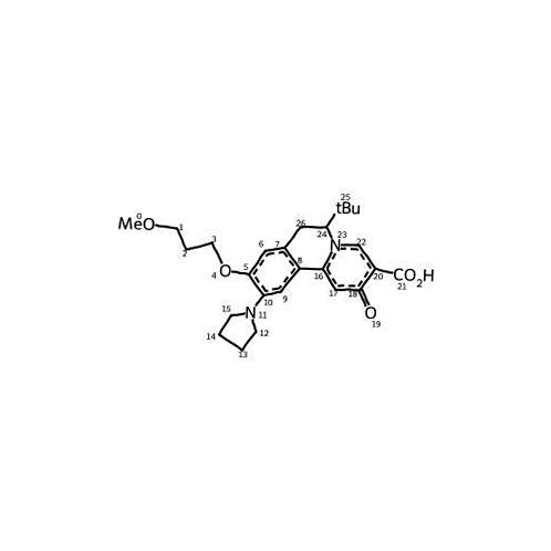 COCCCOc1cc2c(cc1N1CCCC1)-c1cc(=O)c(C(=O)O)cn1C(C(C)(C)C)C2